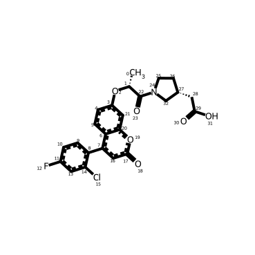 C[C@@H](Oc1ccc2c(-c3ccc(F)cc3Cl)cc(=O)oc2c1)C(=O)N1CC[C@H](CC(=O)O)C1